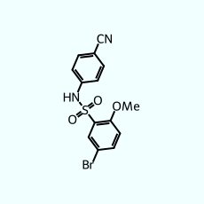 COc1ccc(Br)cc1S(=O)(=O)Nc1ccc(C#N)cc1